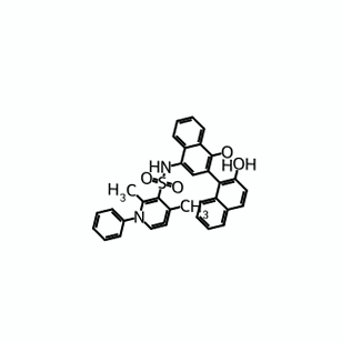 CC1=C=CN(c2ccccc2)C(C)=C1S(=O)(=O)Nc1cc(-c2c(O)ccc3ccccc23)c(O)c2ccccc12